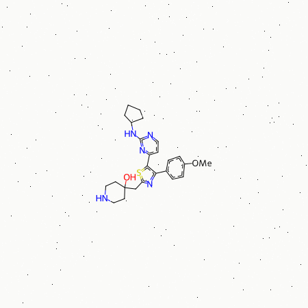 COc1ccc(-c2nc(CC3(O)CCNCC3)sc2-c2ccnc(NC3CCCC3)n2)cc1